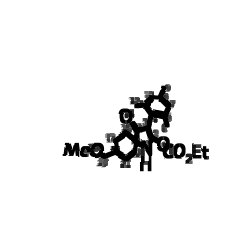 CCOC(=O)OC1=C(c2c(C)cc(C)cc2C)C(=O)C2(CCC(COC)CC2)N1